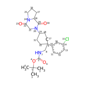 CC(C)(C)OC(=O)NCC1(c2cccc(Cl)c2)CCC(N2CC(=O)N3CCCC3C2=O)CC1